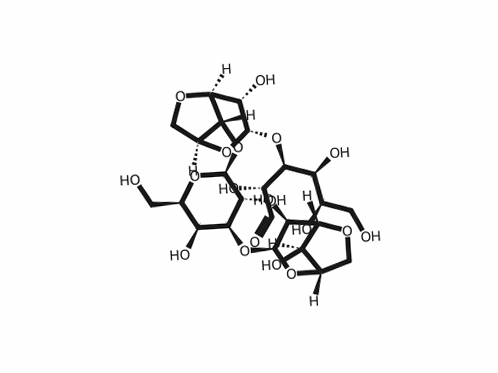 O=C[C@H](O)[C@@H](O[C@@H]1O[C@H]2CO[C@@H]([C@@H]1O)[C@@H]2O[C@@H]1O[C@H](CO)[C@H](O)[C@H](O[C@@H]2O[C@H]3CO[C@@H]([C@@H]2O)[C@@H]3O)[C@H]1O)[C@@H](O)[C@H](O)CO